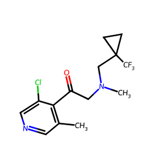 Cc1cncc(Cl)c1C(=O)CN(C)CC1(C(F)(F)F)CC1